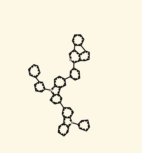 c1ccc(-c2cccc(-n3c4ccc(-c5cccc(-c6ncc7c8c(cccc68)-c6ccccc6-7)c5)cc4c4cc(-c5ccc6c(c5)c5ccccc5n6-c5ccccc5)ccc43)c2)cc1